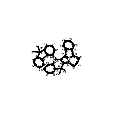 CC1(C)c2ccccc2-c2c(N3c4ccccc4C(C)(C)c4c3c3c5ccccc5c5cccc4n53)cccc21